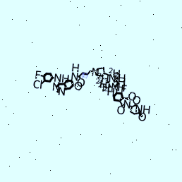 [2H]C1([2H])N(CC2CCN(C/C=C/C(=O)Nc3cc4c(Nc5ccc(F)c(Cl)c5)ncnc4cc3OC)CC2)C([2H])([2H])C([2H])([2H])N(c2ccc3c(c2F)C(=O)N(C2CCC(=O)NC2=O)C3=O)C1([2H])[2H]